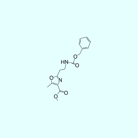 COC(=O)c1nc(CCNC(=O)OCc2ccccc2)oc1C